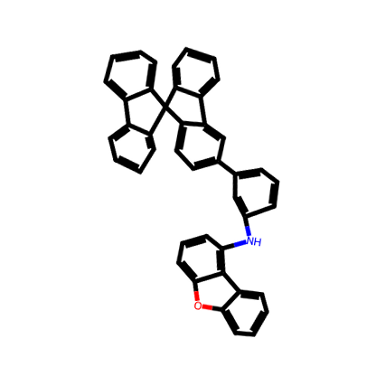 c1cc(Nc2cccc3oc4ccccc4c23)cc(-c2ccc3c(c2)-c2ccccc2C32c3ccccc3-c3ccccc32)c1